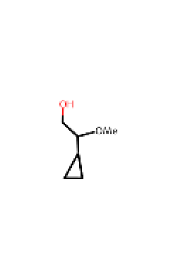 COC(CO)C1CC1